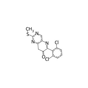 CSc1ncc2c(n1)CC(=O)C(c1c(Cl)cccc1Cl)=N2